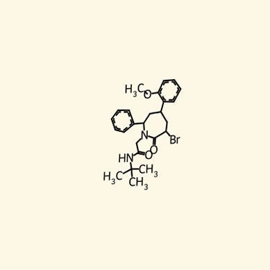 COc1ccccc1C1CC(Br)C(=O)N(CC(=O)NC(C)(C)C)C(c2ccccc2)C1